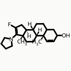 C[C@]12C=CC(O)CC1CC[C@@H]1[C@H]2CC[C@]2(C)C(N3CCCC3)=C(F)C[C@@H]12